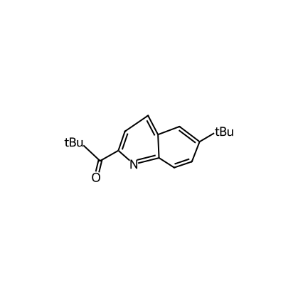 CC(C)(C)C(=O)c1ccc2cc(C(C)(C)C)ccc2n1